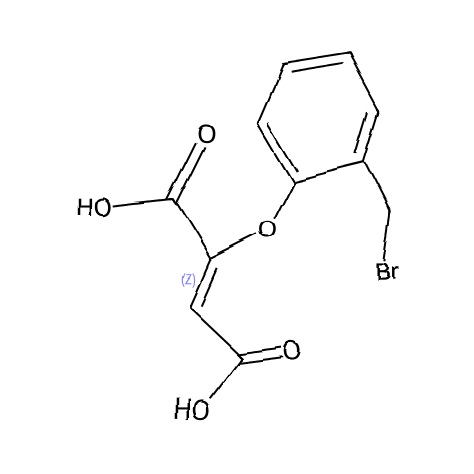 O=C(O)/C=C(\Oc1ccccc1CBr)C(=O)O